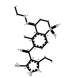 CCON=C1CCS(=O)(=O)c2ccc(C(=O)c3c(CC)n[nH]c3O)c(C)c21